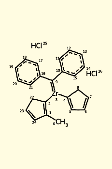 CC1=[C]([Zr]([C]2=CC=CC2)=[C](c2ccccc2)c2ccccc2)CC=C1.Cl.Cl